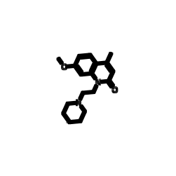 COc1ccc2c(C)cc(=O)n(CCN3CC[CH]CC3)c2c1